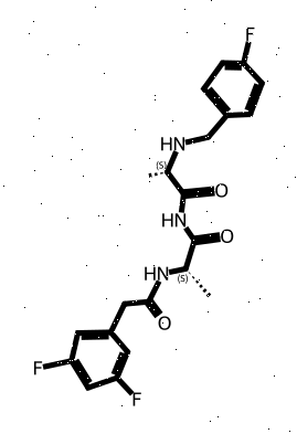 C[C@H](NCc1ccc(F)cc1)C(=O)NC(=O)[C@H](C)NC(=O)Cc1cc(F)cc(F)c1